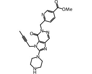 CC#CCn1c(N2CCNCC2)nc2cnn(Cc3ccc(C(=O)OC)cn3)c(=O)c21